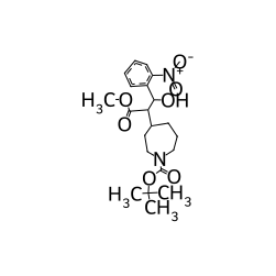 COC(=O)C(C1CCCN(C(=O)OC(C)(C)C)CC1)C(O)c1ccccc1[N+](=O)[O-]